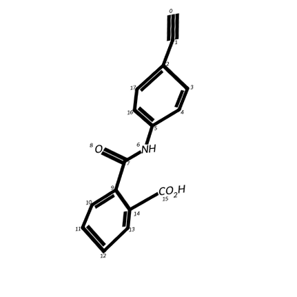 C#Cc1ccc(NC(=O)c2ccccc2C(=O)O)cc1